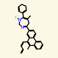 C=C/C=C\c1c(C)c2ccccc2c2ccc(C3=NCN(F)C(C4=CCCC=C4)=C(C)C3)cc12